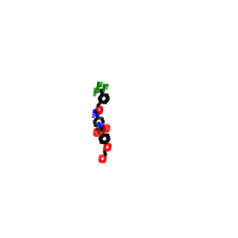 COCCOc1ccc(S(=O)(=O)N2CCC(=NOCc3cccc(C(F)(F)F)c3)CC2)cc1